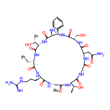 CC[C@H](C)[C@@H]1NC(=O)[C@@H](CCCNC(=N)N)NC(=O)[C@H](CC(C)C)NC(=O)[C@H]([C@H](O)C(C)C)NC(=O)[C@@H](N)[C@@H](c2ccccc2)NC(=O)[C@H](CO)NC(=O)C(CC(N)=O)NC(=O)CNC(=O)[C@H]([C@H](C)O)NC1=O